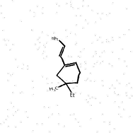 CCCC=CC1=CCCC(C)(CC)C1